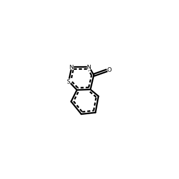 O=c1nnsc2ccccc12